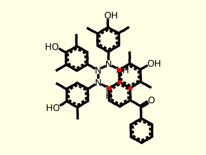 Cc1cc(NN(c2cc(C)c(O)c(C)c2)N(c2cc(C)c(O)c(C)c2)N(Nc2cccc(C(=O)c3ccccc3)c2)c2cc(C)c(O)c(C)c2)cc(C)c1O